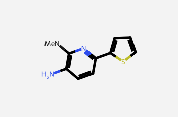 CNc1nc(-c2cccs2)ccc1N